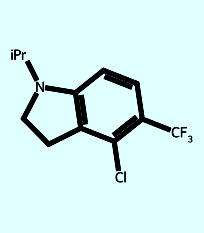 CC(C)N1CCc2c1ccc(C(F)(F)F)c2Cl